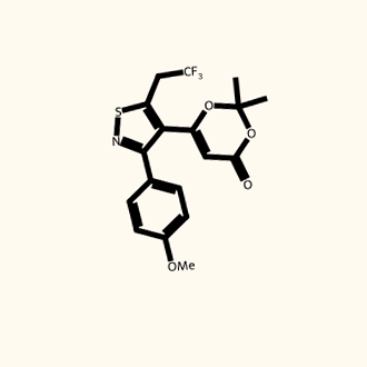 COc1ccc(-c2nsc(CC(F)(F)F)c2C2=CC(=O)OC(C)(C)O2)cc1